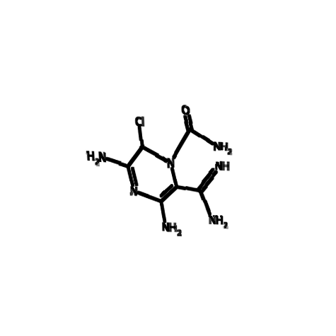 N=C(N)C1=C(N)N=C(N)C(Cl)N1C(N)=O